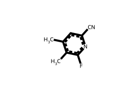 Cc1cc(C#N)nc(F)c1C